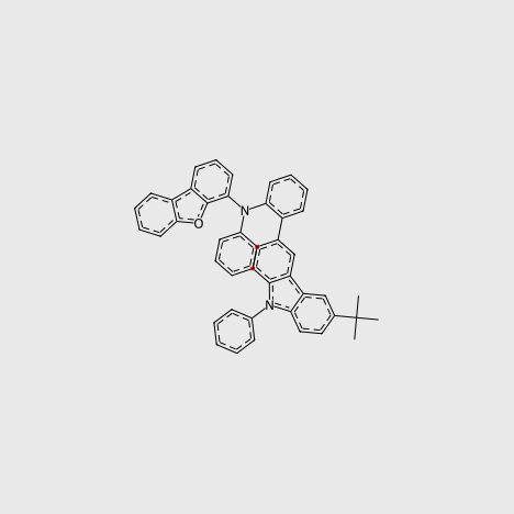 CC(C)(C)c1ccc2c(c1)c1cc(-c3ccccc3N(c3ccccc3)c3cccc4c3oc3ccccc34)ccc1n2-c1ccccc1